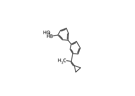 CC(=C1CC1)c1cccc(-c2cccc(BO)c2)c1